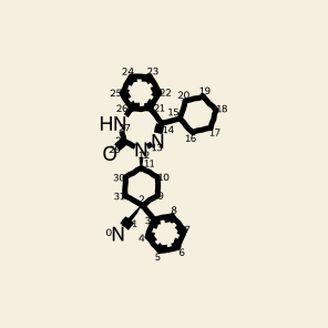 N#C[C@]1(c2ccccc2)CC[C@H](N2N=C(C3CCCCC3)c3ccccc3NC2=O)CC1